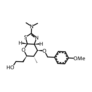 COc1ccc(CO[C@H]2[C@H](C)[C@@H](CCO)O[C@@H]3SC(N(C)C)=N[C@H]23)cc1